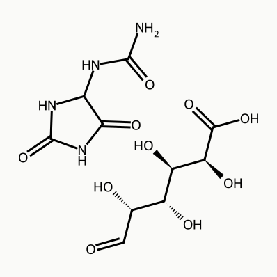 NC(=O)NC1NC(=O)NC1=O.O=C[C@H](O)[C@@H](O)[C@@H](O)[C@H](O)C(=O)O